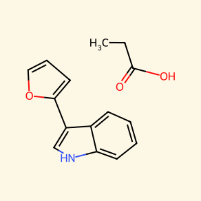 CCC(=O)O.c1coc(-c2c[nH]c3ccccc23)c1